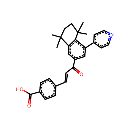 CC1(C)CCC(C)(C)c2c(-c3ccncc3)cc(C(=O)C=Cc3ccc(C(=O)O)cc3)cc21